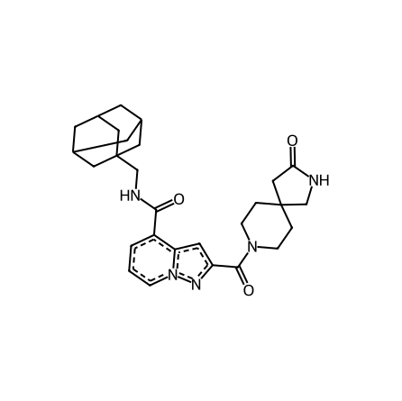 O=C1CC2(CCN(C(=O)c3cc4c(C(=O)NCC56CC7CC(CC(C7)C5)C6)cccn4n3)CC2)CN1